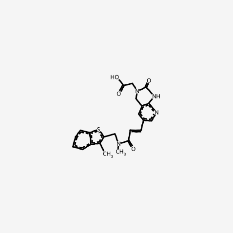 Cc1c(CN(C)C(=O)C=Cc2cnc3c(c2)CN(CC(=O)O)C(=O)N3)sc2ccccc12